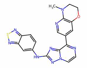 CN1CCOc2cc(-c3nccn4nc(Nc5ccc6nsnc6c5)nc34)cnc21